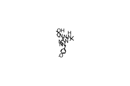 COc1ccc(Cn2nnc3c(N4CCC(C)(O)C4)nc(NC(C)(C)C)nc32)cc1